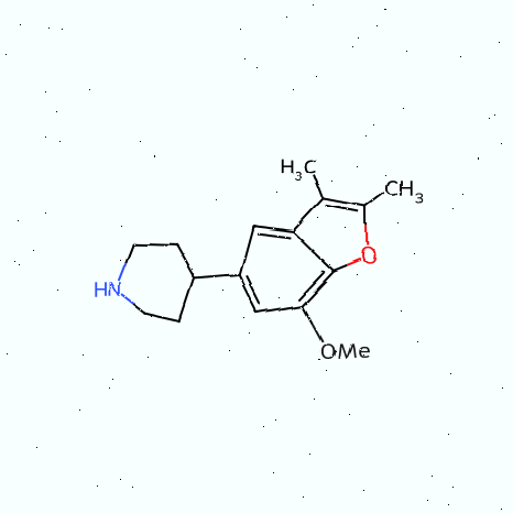 COc1cc(C2CCNCC2)cc2c(C)c(C)oc12